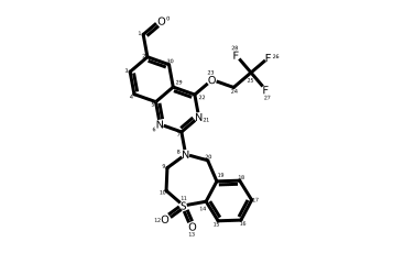 O=Cc1ccc2nc(N3CCS(=O)(=O)c4ccccc4C3)nc(OCC(F)(F)F)c2c1